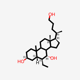 CC[C@@H]1[C@@H](O)C2C(CC[C@@]3(C)C2CC[C@@H]3[C@H](C)CCCO)C2(C)CC[C@H](O)C[C@@H]12